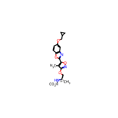 Cc1c(OC[C@H](C)NC(=O)O)noc1-c1nc2cc(OCC3CC3)ccc2o1